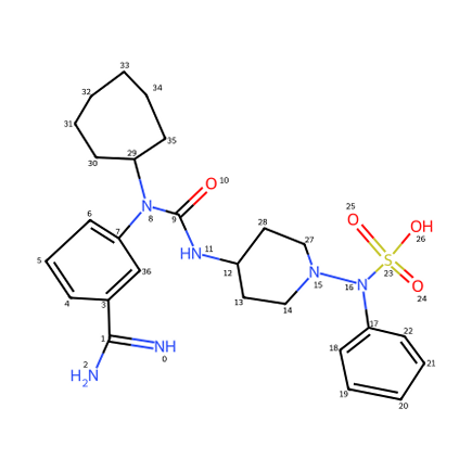 N=C(N)c1cccc(N(C(=O)NC2CCN(N(c3ccccc3)S(=O)(=O)O)CC2)C2CCCCCC2)c1